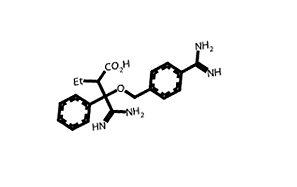 CCC(C(=O)O)C(OCc1ccc(C(=N)N)cc1)(C(=N)N)c1ccccc1